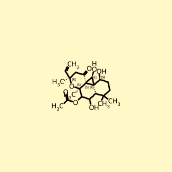 C=C[C@@]1(C)CC(=O)[C@]23[C@@H](O)[C@]24C(C(O)C(OC(C)=O)[C@@]3(C)O1)C(C)(C)CC[C@@H]4O